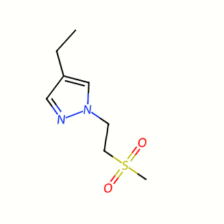 CCc1cnn(CCS(C)(=O)=O)c1